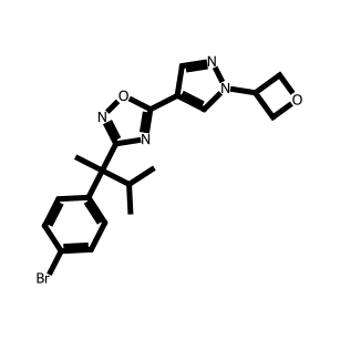 CC(C)C(C)(c1ccc(Br)cc1)c1noc(-c2cnn(C3COC3)c2)n1